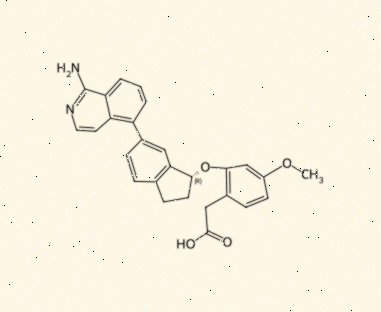 COc1ccc(CC(=O)O)c(O[C@@H]2CCc3ccc(-c4cccc5c(N)nccc45)cc32)c1